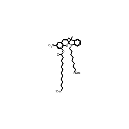 CCCCCCCCCCCCCCCCCCCCCC(=O)Oc1cc([N+](=O)[O-])cc2c1SC1(C=C2)N(CCCCCCCCCCCCCCCCCC)c2ccccc2C1(C)C